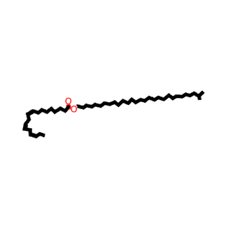 CC/C=C\C/C=C\C/C=C\CCCCCCCC(=O)OCCCCCCCCCCCCCCCCCCCCCCCCCCCC(C)C